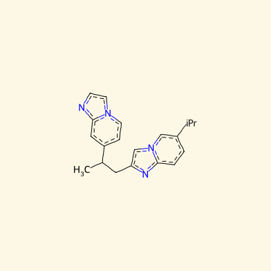 CC(C)c1ccc2nc(CC(C)c3ccn4ccnc4c3)cn2c1